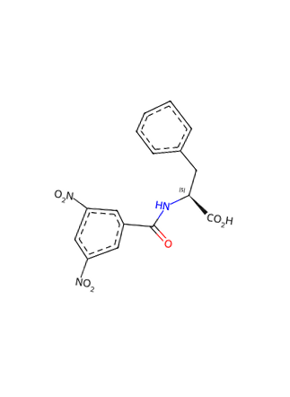 O=C(N[C@@H](Cc1ccccc1)C(=O)O)c1cc([N+](=O)[O-])cc([N+](=O)[O-])c1